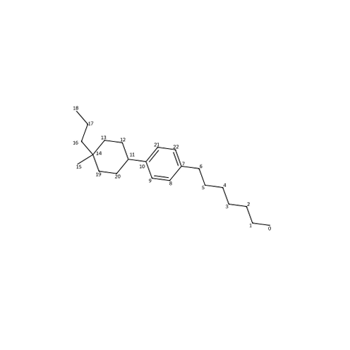 CCCCCCCc1ccc(C2CCC(C)(CCC)CC2)cc1